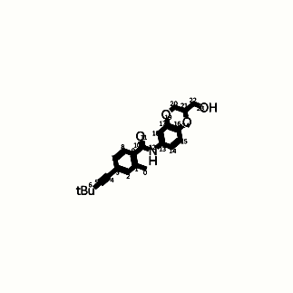 Cc1cc(C#CC(C)(C)C)ccc1C(=O)Nc1ccc2c(c1)OCC(CO)O2